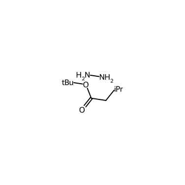 CC(C)CC(=O)OC(C)(C)C.NN